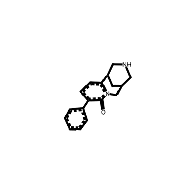 O=c1c(-c2ccccc2)ccc2n1CC1CNCC2C1